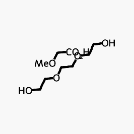 COCC(=O)O.OCCOCCOCCO